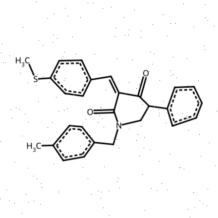 CSc1ccc(/C=C2/C(=O)C(c3ccccc3)CN(Cc3ccc(C)cc3)C2=O)cc1